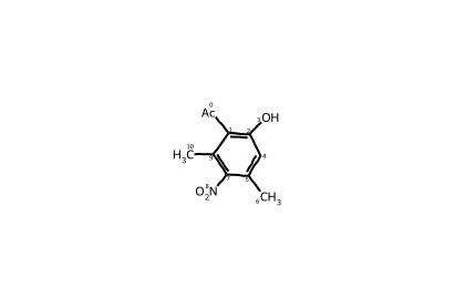 CC(=O)c1c(O)cc(C)c([N+](=O)[O-])c1C